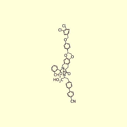 Cc1ccccc1C(=O)N1Cc2cc3c(cc2C[C@H]1C(=O)NC(Cc1ccc(-c2ccc(C#N)cc2)cc1)C(=O)O)OC[C@H](c1ccc(OCc2ccc(Cl)c(Cl)c2)cc1)O3